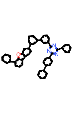 c1ccc(-c2ccc(-c3nc(-c4ccccc4)nc(-c4cccc(-c5cccc(-c6ccc7c(c6)oc6c(-c8ccccc8)cccc67)c5)c4)n3)cc2)cc1